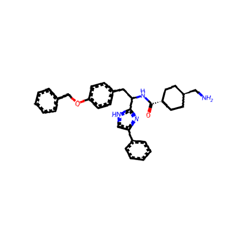 NC[C@H]1CC[C@H](C(=O)NC(Cc2ccc(OCc3ccccc3)cc2)c2nc(-c3ccccc3)c[nH]2)CC1